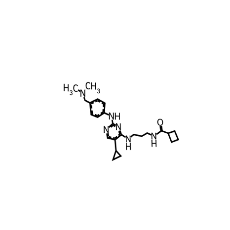 CN(C)Cc1ccc(Nc2ncc(C3CC3)c(NCCCNC(=O)C3CCC3)n2)cc1